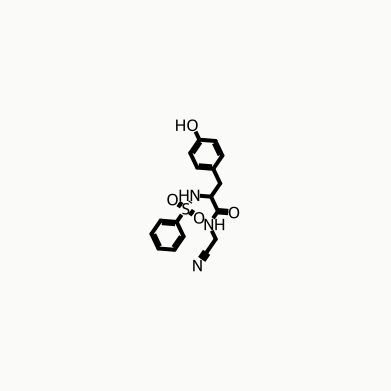 N#CCNC(=O)C(Cc1ccc(O)cc1)NS(=O)(=O)c1ccccc1